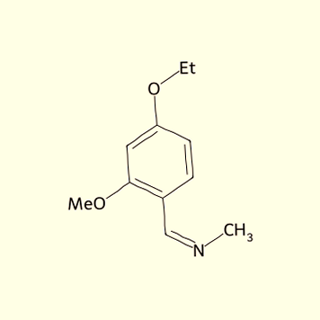 CCOc1ccc(/C=N\C)c(OC)c1